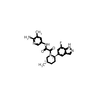 Cc1cc(NC(=O)C(=O)N2C[C@@H](C)CC[C@@H]2c2cc(F)c3[nH]ncc3c2)cnc1N